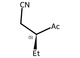 CC[C@@H](CC#N)C(C)=O